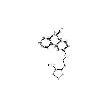 CN1CCCC1CCNc1ccc2c(=O)[nH]c3ncccc3c2c1